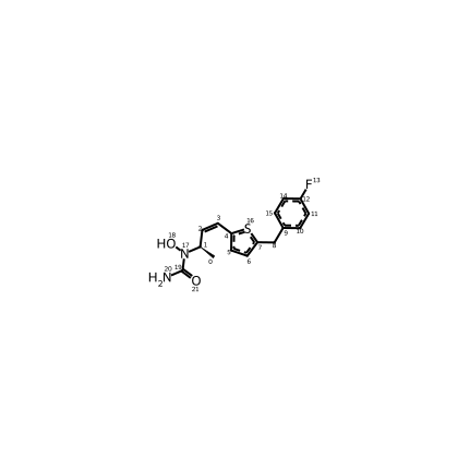 C[C@H](/C=C\c1ccc(Cc2ccc(F)cc2)s1)N(O)C(N)=O